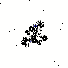 CCN(CC)c1ccc(/N=N/c2snc3scc(Cl)c23)c(Nc2nc(Nc3cc(N(CC)CC)ccc3/N=N/c3snc4scc(Cl)c34)nc(SCc3ccccc3)n2)c1